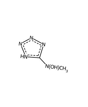 CN(O)c1nnn[nH]1